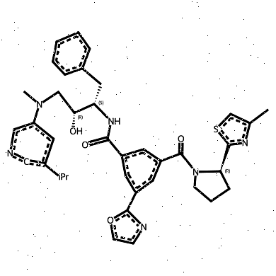 Cc1csc([C@H]2CCCN2C(=O)c2cc(C(=O)N[C@@H](Cc3ccccc3)[C@H](O)CN(C)c3cncc(C(C)C)c3)cc(-c3ncco3)c2)n1